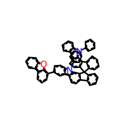 c1ccc(-n2c3ccccc3c3ccc4c(c32)-c2ccccc2C42c3ccccc3-c3ccc4c5cc(-c6cccc7c6oc6ccccc67)ccc5n(-c5ccccc5)c4c32)cc1